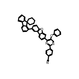 N#Cc1ccc(-c2ncc(Oc3ccccc3)c(-c3ccc4c(c3)oc3ccc(-c5cccc6c5C5(CCCCC5)c5ccccc5-6)cc34)n2)cc1